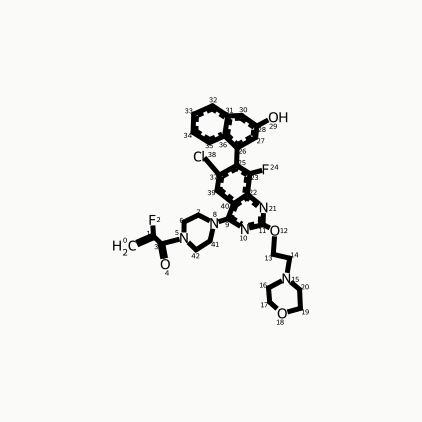 C=C(F)C(=O)N1CCN(c2nc(OCCN3CCOCC3)nc3c(F)c(-c4cc(O)cc5ccccc45)c(Cl)cc23)CC1